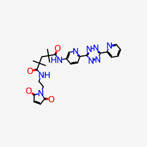 CC(C)(CC(C)(C)C(=O)Nc1ccc(-c2nnc(-c3ccccn3)nn2)nc1)C(=O)NCCN1C(=O)C=CC1=O